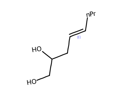 CCC/C=C/CC(O)CO